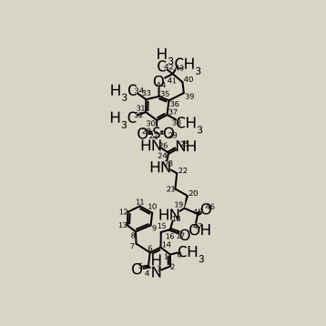 Cc1c[nH]c(=O)c(Cc2ccccc2)c1CC(=O)N[C@@H](CCCNC(=N)NS(=O)(=O)c1c(C)c(C)c2c(c1C)CCC(C)(C)O2)C(=O)O